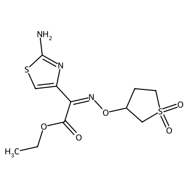 CCOC(=O)C(=NOC1CCS(=O)(=O)C1)c1csc(N)n1